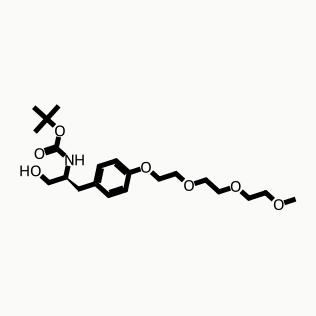 COCCOCCOCCOc1ccc(C[C@@H](CO)NC(=O)OC(C)(C)C)cc1